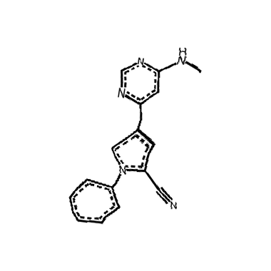 CNc1cc(-c2cc(C#N)n(-c3ccccc3)c2)ncn1